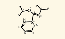 CC(C)/N=C(\OC(C)C)c1ncccn1